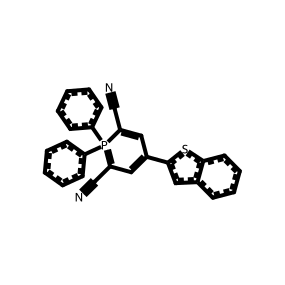 N#CC1=CC(c2cc3ccccc3s2)=CC(C#N)=P1(c1ccccc1)c1ccccc1